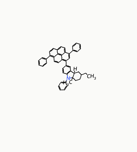 CCC1CCC2(C)[C@@H](C1)c1cc(-c3cc(-c4ccccc4)c4ccc5ccc(-c6ccccc6)c6ccc3c4c56)ccc1N2c1ccccc1